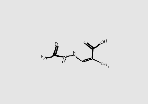 C/C(=C/NNC(N)=O)C(=O)O